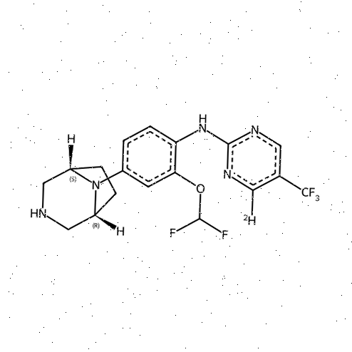 [2H]c1nc(Nc2ccc(N3[C@@H]4CC[C@H]3CNC4)cc2OC(F)F)ncc1C(F)(F)F